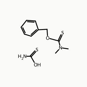 CN(C)C(=S)OCc1ccccc1.NC(O)=S